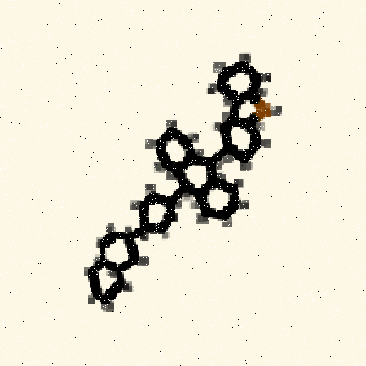 C1=CC2C=CC(c3ccc(-c4c5ccccc5c(-c5ccc6sc7ccccc7c6c5)c5ccccc45)cc3)=CC2C=C1